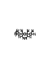 N#CC(C#N)=C1C(c2ccc(C#N)c(C#N)c2)=C(C#N)c2cc3c(cc21)C(=C(C#N)C#N)C(c1ccc(C(F)(F)F)c(C(F)(F)F)c1)=C3C#N